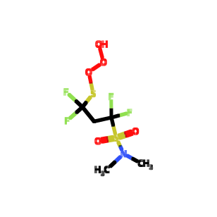 CN(C)S(=O)(=O)C(F)(F)CC(F)(F)SOOO